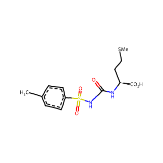 CSCC[C@H](NC(=O)NS(=O)(=O)c1ccc(C)cc1)C(=O)O